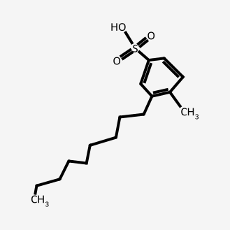 CCCCCCCCCc1cc(S(=O)(=O)O)ccc1C